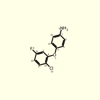 Nc1ccc(Oc2cc(F)ccc2Cl)cc1